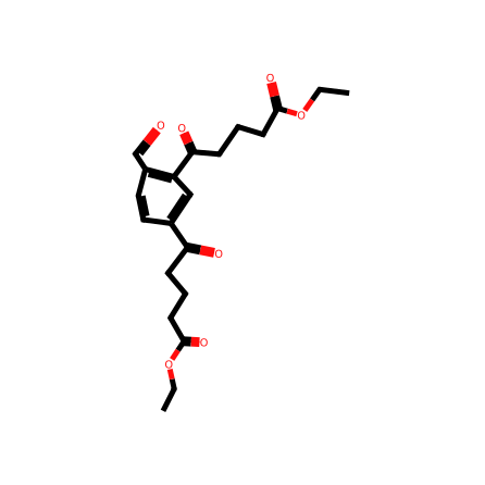 CCOC(=O)CCCC(=O)c1ccc(C=O)c(C(=O)CCCC(=O)OCC)c1